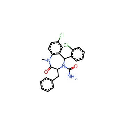 CN1C(=O)C(Cc2ccccc2)N(C(N)=O)C(c2ccccc2Cl)c2cc(Cl)ccc21